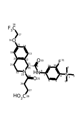 CS(C)(C)c1ccc(NC(=O)[C@H]2c3ccc(OCC(F)(F)F)cc3CCN2C(=O)CCC(=O)O)cc1F